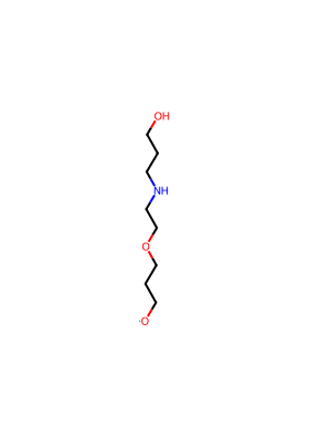 [O]CCCOCCNCCCO